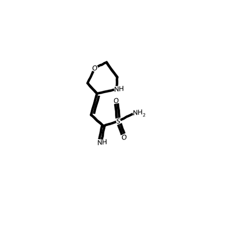 N=C(/C=C1/COCCN1)S(N)(=O)=O